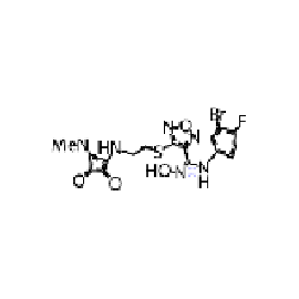 CNc1c(NCCSc2nonc2/C(=N\O)Nc2ccc(F)c(Br)c2)c(=O)c1=O